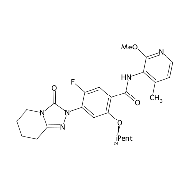 CCC[C@H](C)Oc1cc(-n2nc3n(c2=O)CCCC3)c(F)cc1C(=O)Nc1c(C)ccnc1OC